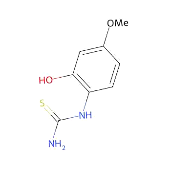 COc1ccc(NC(N)=S)c(O)c1